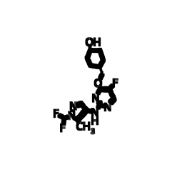 Cc1c(Nc2ncc(F)c(OC[C@H]3CC[C@H](O)CC3)n2)cnn1C(F)F